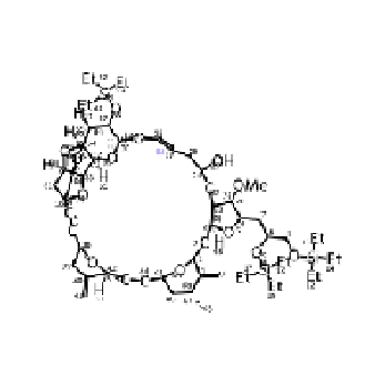 C=C1C2C[C@@H]3OC(CC(CO[Si](CC)(CC)CC)O[Si](CC)(CC)CC)[C@H](OC)C3CC(O)C/C=C/C[C@@H]3O[C@H]4[C@H]5O[C@]6(CCC7CC(=C)[C@H](CCC(C[C@H]1C)O2)O7)C[C@H]5O[C@H]4[C@@H](O6)C3O[Si](CC)(CC)CC